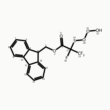 O=C(OCC1c2ccccc2-c2ccccc21)C(F)(SOOO)C(F)(F)F